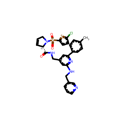 Cc1ccc(-c2cc(CNC(=O)[C@@H]3C=CCN3S(=O)(=O)c3ccc(Cl)s3)cc(NCc3cccnc3)n2)cc1